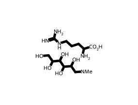 CNCC(O)C(O)C(O)C(O)CO.N=C(N)NCCCC(N)C(=O)O